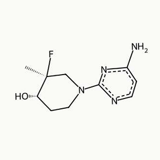 C[C@]1(F)CN(c2nccc(N)n2)CC[C@@H]1O